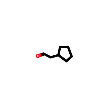 O=[C]CC1CCCC1